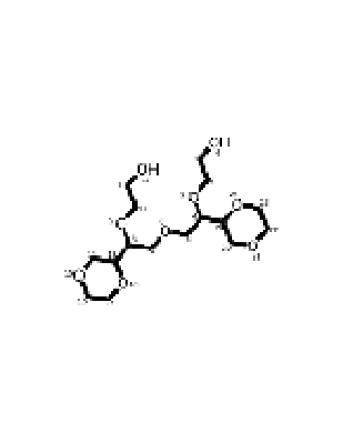 OCCOC(COCC(OCCO)C1COCCO1)C1COCCO1